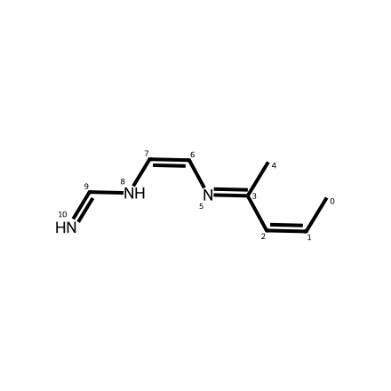 C\C=C/C(C)=N/C=C\NC=N